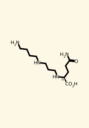 NCCCCNCCCN[C@@H](CCC(N)=O)C(=O)O